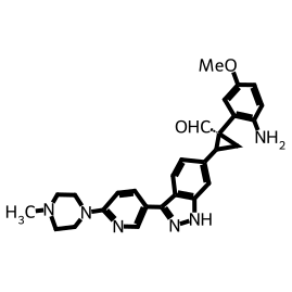 COc1ccc(N)c([C@@]2(C=O)CC2c2ccc3c(-c4ccc(N5CCN(C)CC5)nc4)n[nH]c3c2)c1